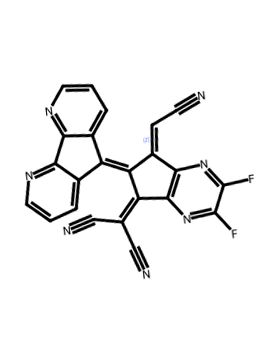 N#C/C=C1/C(=C2c3cccnc3-c3ncccc32)C(=C(C#N)C#N)c2nc(F)c(F)nc21